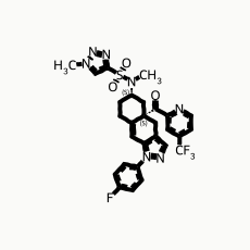 CN([C@H]1CCC2=Cc3c(cnn3-c3ccc(F)cc3)C[C@]2(C(=O)c2cc(C(F)(F)F)ccn2)C1)S(=O)(=O)c1cn(C)nn1